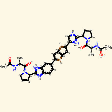 COC(=O)N[C@H](C(=O)N1CC=CC1c1nc2ccc(-c3cc4sc(-c5cnc(C6CCCN6C(=O)[C@@H](NC(O)OC)C(C)C)[nH]5)cc4s3)cc2[nH]1)C(C)C